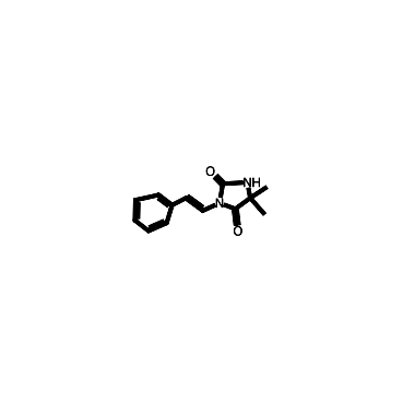 CC1(C)NC(=O)N(C=Cc2ccccc2)C1=O